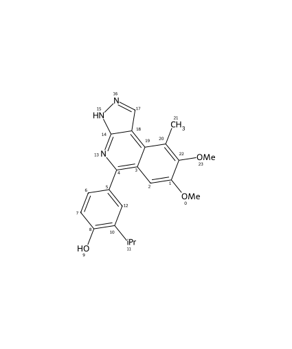 COc1cc2c(-c3ccc(O)c(C(C)C)c3)nc3[nH]ncc3c2c(C)c1OC